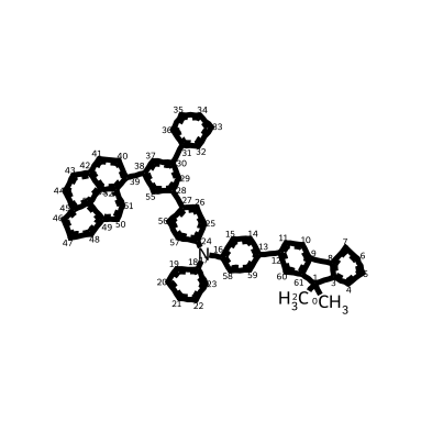 CC1(C)c2ccccc2-c2ccc(-c3ccc(N(c4ccccc4)c4ccc(-c5cc(-c6ccccc6)cc(-c6ccc7ccc8cccc9ccc6c7c89)c5)cc4)cc3)cc21